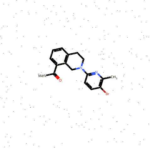 CNC(=O)c1cccc2c1CN(c1ccc(Br)c(C)n1)CC2